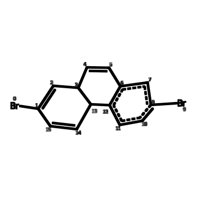 BrC1=CC2C=Cc3cc(Br)ccc3C2C=C1